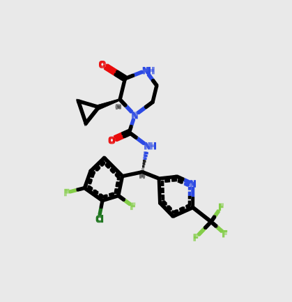 O=C1NCCN(C(=O)N[C@H](c2ccc(C(F)(F)F)nc2)c2ccc(F)c(Cl)c2F)[C@H]1C1CC1